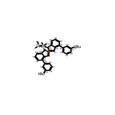 C[Si](C)=[Hf]([CH3])([CH3])([CH]1C=Cc2c(-c3cccc(C(C)(C)C)c3)cccc21)[CH]1C=Cc2c(-c3cccc(C(C)(C)C)c3)cccc21